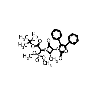 COP(=O)(OC)C(C(=O)OC(C)(C)C)N1C(=O)[C@@H](n2c(-c3ccccc3)c(-c3ccccc3)oc2=O)[C@H]1C